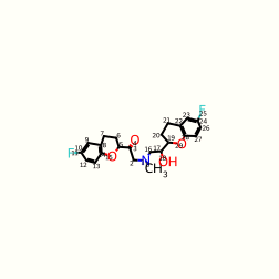 CN(CC(=O)C1CCc2cc(F)ccc2O1)CC(O)C1CCc2cc(F)ccc2O1